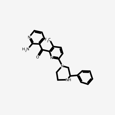 Nc1ncccc1C(=O)c1nc(N2CCNC(c3ccccc3)C2)ccc1C(F)(F)F